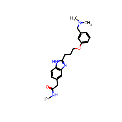 CC(C)NC(=O)Cc1ccc2[nH]c(CCCOc3cccc(CN(C)C)c3)nc2c1